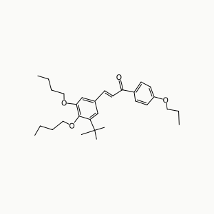 CCCCOc1cc(C=CC(=O)c2ccc(OCCC)cc2)cc(C(C)(C)C)c1OCCCC